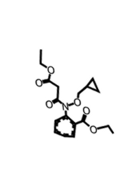 CCOC(=O)CC(=O)N(OCC1CC1)c1ccccc1C(=O)OCC